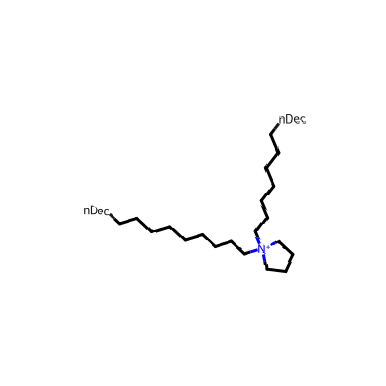 CCCCCCCCCCCCCCCCCCC[N+]1(CCCCCCCCCCCCCCCCC)CCCC1